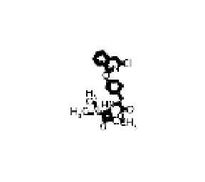 CCN(CC)c1c(N[C@@H](Cc2ccc(Oc3nc(Cl)cc4ccccc34)cc2)C(=O)OC)c(=O)c1=O